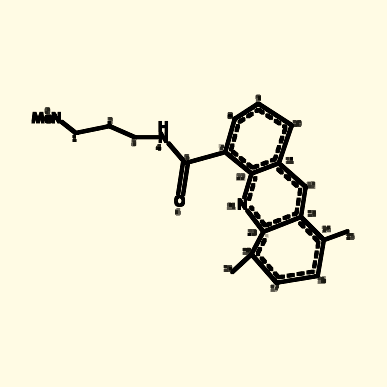 CNCCCNC(=O)c1cccc2cc3c(C)ccc(C)c3nc12